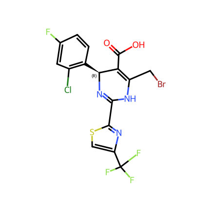 O=C(O)C1=C(CBr)NC(c2nc(C(F)(F)F)cs2)=N[C@H]1c1ccc(F)cc1Cl